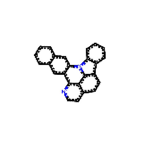 c1ccc2cc3c(cc2c1)c1nccc2ccc4c5ccccc5n3c4c21